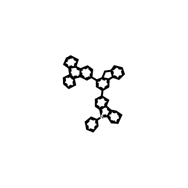 c1ccc(-n2c3ccccc3c3cc(-c4cc(-c5ccc6c7ccccc7c7ccccc7c6c5)c5c(c4)-c4ccccc4C5)ccc32)cc1